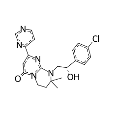 CC1(C)CCn2c(nc(-c3ccncn3)cc2=O)N1C[C@@H](O)c1ccc(Cl)cc1